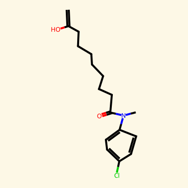 C=C(O)CCCCCCCC(=O)N(C)c1ccc(Cl)cc1